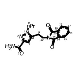 CCCn1nc(C(N)=O)cc1CCN1C(=O)c2ccccc2C1=O